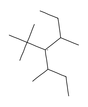 CCC(C)[C](C(C)CC)C(C)(C)C